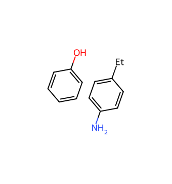 CCc1ccc(N)cc1.Oc1ccccc1